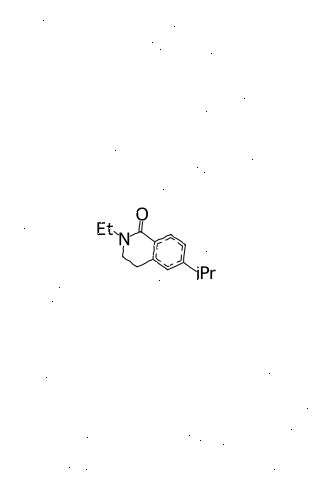 CCN1CCc2cc(C(C)C)ccc2C1=O